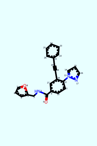 O=C(NCc1ccco1)c1ccc(-n2cccn2)c(C#Cc2ccccc2)c1